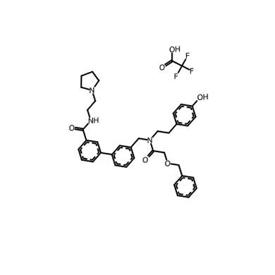 O=C(NCCN1CCCC1)c1cccc(-c2cccc(CN(CCc3ccc(O)cc3)C(=O)COCc3ccccc3)c2)c1.O=C(O)C(F)(F)F